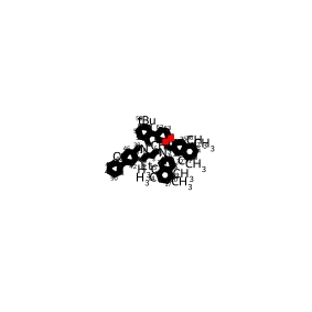 CC/C=C(\C=C(/C)N(c1ccc2c(c1)C(C)(C)CCC2(C)C)c1csc2cc3c(cc12)C(C)(C)CCC3(C)C)N(Cc1ccc2c(c1)oc1ccccc12)Cc1ccc(C(C)(C)C)cc1-c1ccccc1